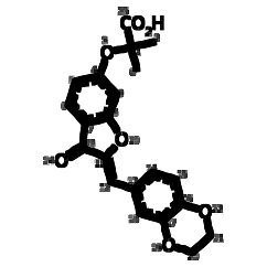 CC(C)(Oc1ccc2c(c1)O/C(=C\c1ccc3c(c1)OCCO3)C2=O)C(=O)O